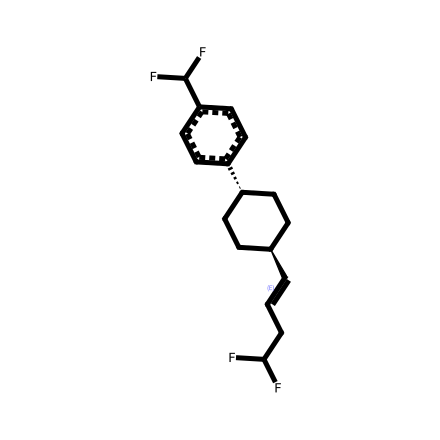 FC(F)C/C=C/[C@H]1CC[C@H](c2ccc(C(F)F)cc2)CC1